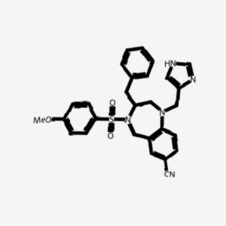 COc1ccc(S(=O)(=O)N2Cc3cc(C#N)ccc3N(Cc3c[nH]cn3)CC2Cc2ccccc2)cc1